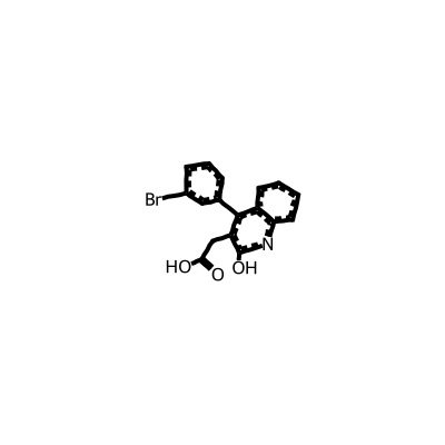 O=C(O)Cc1c(O)nc2ccccc2c1-c1cccc(Br)c1